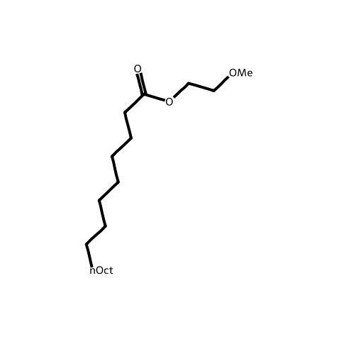 CCCCCCCCCCCCCCCC(=O)OCCOC